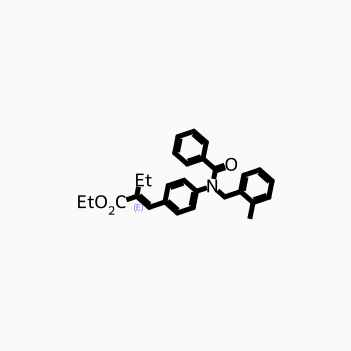 CCOC(=O)/C(=C/c1ccc(N(Cc2ccccc2C)C(=O)c2ccccc2)cc1)CC